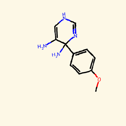 COc1ccc(C2(N)N=CNC=C2N)cc1